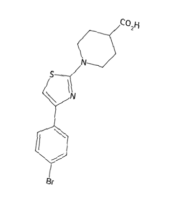 O=C(O)C1CCN(c2nc(-c3ccc(Br)cc3)cs2)CC1